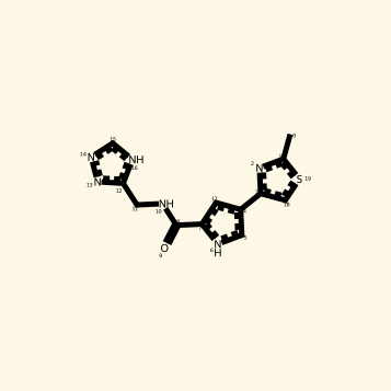 Cc1nc(-c2c[nH]c(C(=O)NCc3nnc[nH]3)c2)cs1